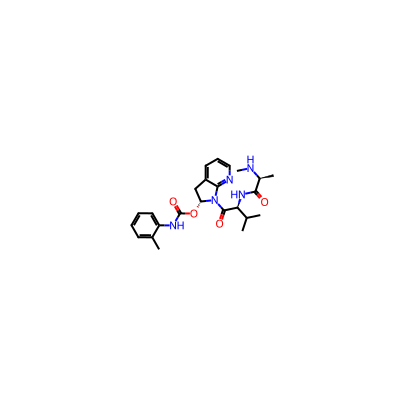 CN[C@@H](C)C(=O)N[C@H](C(=O)N1c2ncccc2C[C@H]1OC(=O)Nc1ccccc1C)C(C)C